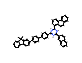 CC1(C)c2ccccc2-c2ccc(-c3ccc(-c4ccc(-c5nc(-c6ccc7ccccc7c6)nc(-c6cccc7c6ccc6ccccc67)n5)cc4)cc3)cc21